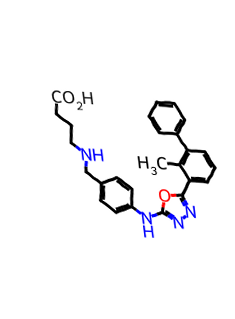 Cc1c(-c2ccccc2)cccc1-c1nnc(Nc2ccc(CNCCCC(=O)O)cc2)o1